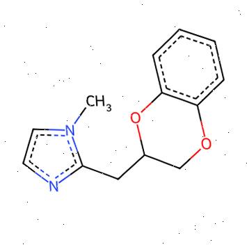 Cn1ccnc1CC1COc2ccccc2O1